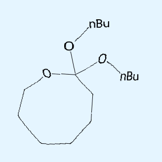 CCCCOC1(OCCCC)CCCCCCO1